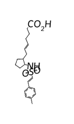 Cc1ccc(C=CS(=O)(=O)NC2CCCC2CC=CCCCC(=O)O)cc1